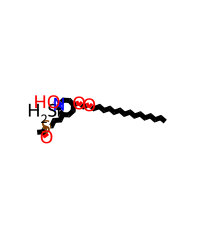 CCCCCCCCCCCCCCCOCOC1CCC(CCCSC(C)=O)[SiH2]N(O)CC1